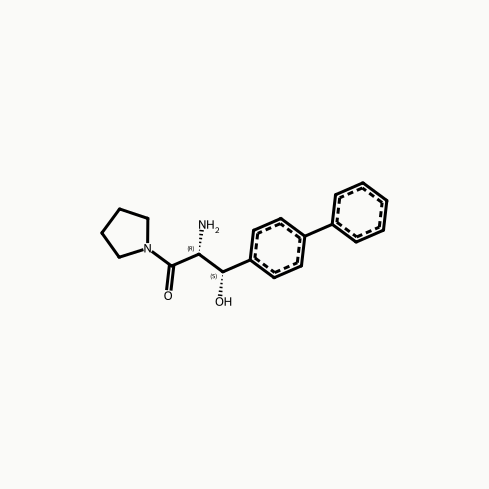 N[C@@H](C(=O)N1CCCC1)[C@@H](O)c1ccc(-c2ccccc2)cc1